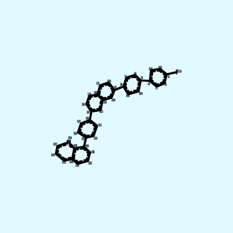 Fc1ccc(-c2ccc(-c3ccc4ccc(-c5ccc(-c6cccc7cccnc67)cc5)cc4c3)cc2)cc1